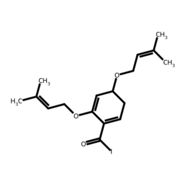 CC(C)=CCOC1=CC(OCC=C(C)C)CC=C1C(=O)I